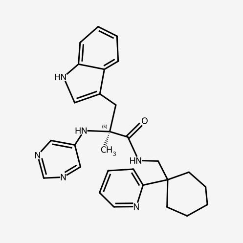 C[C@@](Cc1c[nH]c2ccccc12)(Nc1cncnc1)C(=O)NCC1(c2ccccn2)CCCCC1